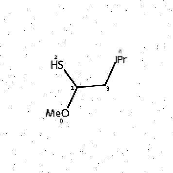 COC(S)CC(C)C